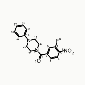 O=C(c1ccc([N+](=O)[O-])c(F)c1)N1CCN(c2ccccc2)CC1